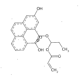 C=CC(=O)OC(CC)OC(=O)c1cc(O)cc2ccc3cccc(C(=O)O)c3c12